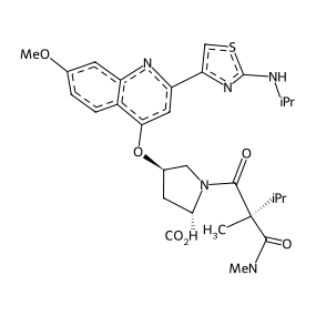 CNC(=O)[C@@](C)(C(=O)N1C[C@H](Oc2cc(-c3csc(NC(C)C)n3)nc3cc(OC)ccc23)C[C@H]1C(=O)O)C(C)C